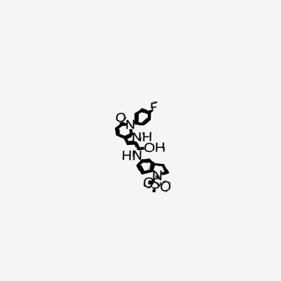 CS(=O)(=O)N1CCc2cc(NC(O)c3cc4ccc(=O)n(-c5ccc(F)cc5)c4[nH]3)ccc21